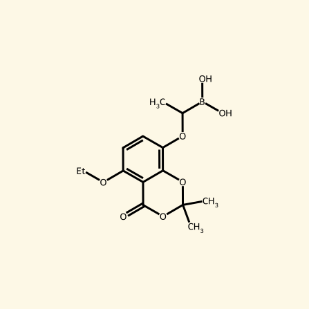 CCOc1ccc(OC(C)B(O)O)c2c1C(=O)OC(C)(C)O2